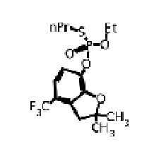 CCCSP(=O)(OCC)Oc1ccc(C(F)(F)F)c2c1OC(C)(C)C2